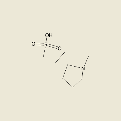 CC.CN1CCCC1.CS(=O)(=O)O